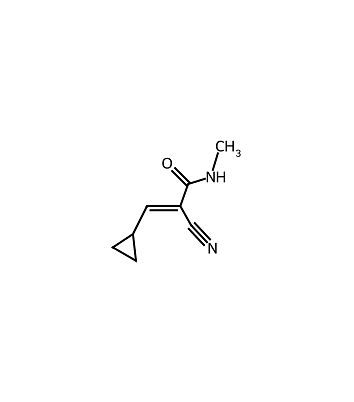 CNC(=O)/C(C#N)=C/C1CC1